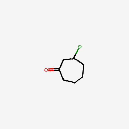 O=C1CCCCC(Br)C1